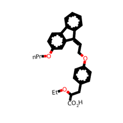 CCCOc1ccc2c(c1)C(=CCOc1ccc(CC(OCC)C(=O)O)cc1)c1ccccc1-2